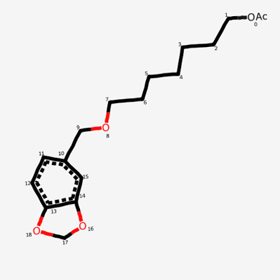 CC(=O)OCCCCCCCOCc1ccc2c(c1)OCO2